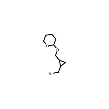 BrCC1CC1COC1CCCCO1